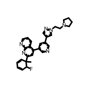 CC1(c2cc(-c3cncc(-c4cnn(CCN5CCCC5)c4)c3)c3cccnc3n2)C=CC=CC1F